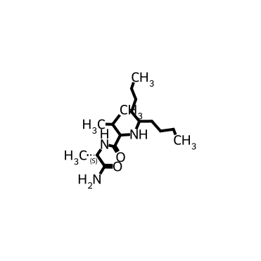 CCCCC(CCCC)NC(C(=O)N[C@@H](C)C(N)=O)C(C)C